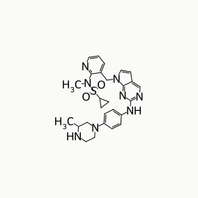 CC1CN(c2ccc(Nc3ncc4ccn(Cc5cccnc5N(C)S(=O)(=O)C5CC5)c4n3)cc2)CCN1